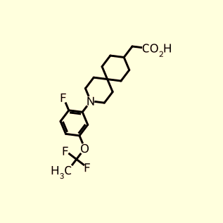 CC(F)(F)Oc1ccc(F)c(N2CCC3(CCC(CC(=O)O)CC3)CC2)c1